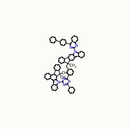 CC1(C)c2ccccc2-c2c1c1c(c3ccccc23)c2ccccc2n1-c1nc(-c2ccccc2)nc(-c2cccc(CC3(C)c4ccccc4-c4cc5c(cc43)c3ccccc3n5-c3nc(-c4ccc(-c5ccccc5)cc4)c4ccccc4n3)c2)n1